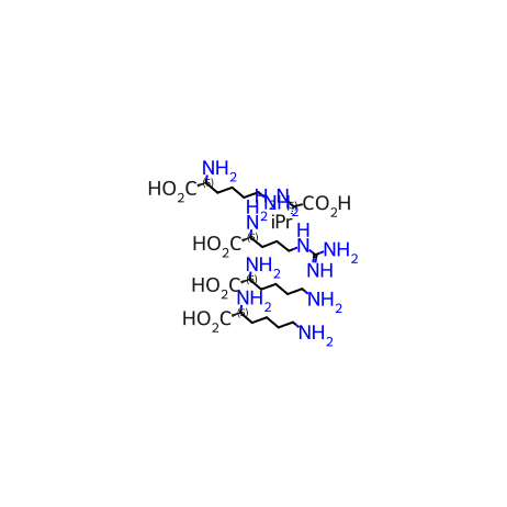 CC(C)[C@H](N)C(=O)O.N=C(N)NCCC[C@H](N)C(=O)O.NCCCC[C@H](N)C(=O)O.NCCCC[C@H](N)C(=O)O.NCCCC[C@H](N)C(=O)O